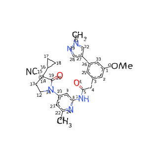 COc1cc(CC(=O)Nc2cc(N3CC[C@@](C#N)(C4CC4)C3=O)cc(C)n2)cc(-c2cnn(C)c2)c1